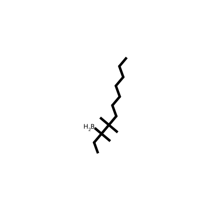 BC(C)(CC)C(C)(C)CCCCCCC